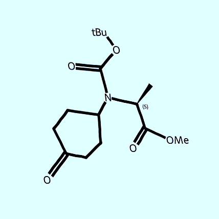 COC(=O)[C@H](C)N(C(=O)OC(C)(C)C)C1CCC(=O)CC1